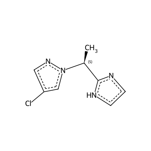 C[C@@H](c1ncc[nH]1)n1cc(Cl)cn1